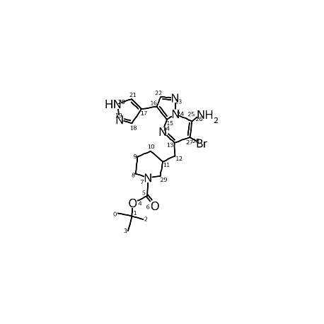 CC(C)(C)OC(=O)N1CCCC(Cc2nc3c(-c4cn[nH]c4)cnn3c(N)c2Br)C1